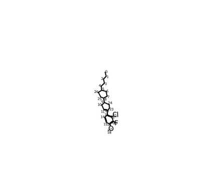 CCCCCC1CCC(C2CC=C(c3ccc(OC)c(F)c3Cl)CC2)CC1